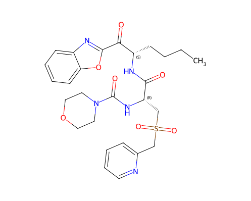 CCCC[C@H](NC(=O)[C@H](CS(=O)(=O)Cc1ccccn1)NC(=O)N1CCOCC1)C(=O)c1nc2ccccc2o1